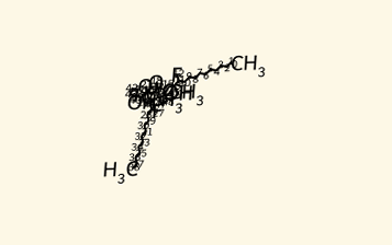 CCCCCCCCCCCC(F)C(C)CC(C(=O)OC(=O)C(CC(C)C(F)CCCCCCCCCCC)C1(O)CCC1)C1(O)CCC1